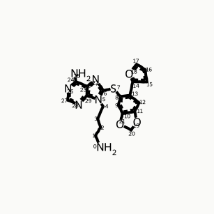 NCCCCn1c(Sc2cc3c(cc2-c2ccco2)OCO3)nc2c(N)ncnc21